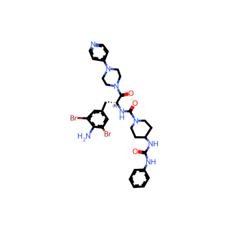 Nc1c(Br)cc(C[C@@H](NC(=O)N2CCC(NC(=O)Nc3ccccc3)CC2)C(=O)N2CCN(c3ccncc3)CC2)cc1Br